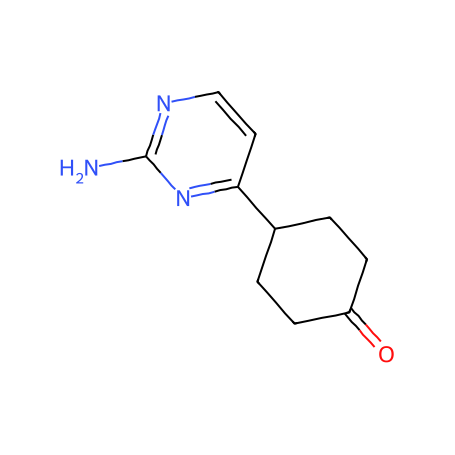 Nc1nccc(C2CCC(=O)CC2)n1